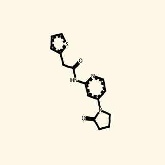 O=C(Cc1cccs1)Nc1cc(N2CCCC2=O)ccn1